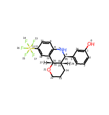 Oc1cccc([C@@H]2Nc3ccc(S(F)(F)(F)(F)F)cc3[C@H]3OCCC[C@H]32)c1